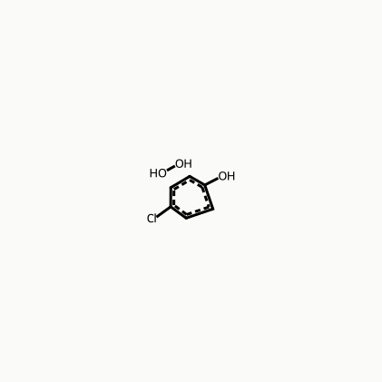 OO.Oc1ccc(Cl)cc1